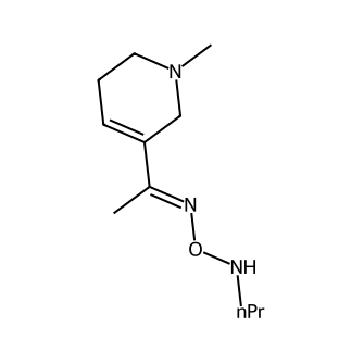 CCCNON=C(C)C1=CCCN(C)C1